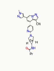 CC(C)C(=O)NC1[C@H]2CN(c3ccc(-c4cc(-c5cnn(C)c5)cn5ncc(C#N)c45)cn3)C[C@@H]12